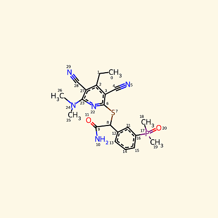 CCc1c(C#N)c(SC(C(N)=O)c2cccc(P(C)(C)=O)c2)nc(N(C)C)c1C#N